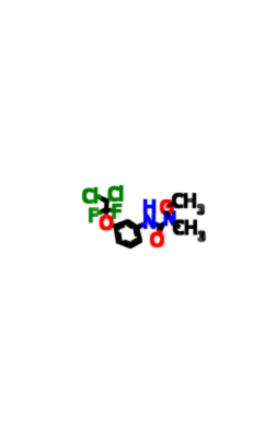 CON(C)C(=O)Nc1cccc(OC(F)(F)C(Cl)Cl)c1